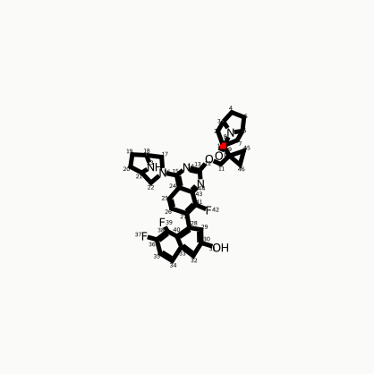 O=C1CC2CCC(C1)N2CC1(COc2nc(N3CC4CCC(C3)N4)c3ccc(-c4cc(O)cc5ccc(F)c(F)c45)c(F)c3n2)CC1